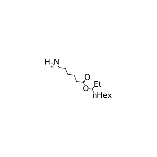 CCCCCCC(CC)OC(=O)CCCCCN